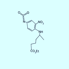 CCOC(=O)CCCC(C)Nc1ccc(N=S(=O)=O)cc1[N+](=O)[O-]